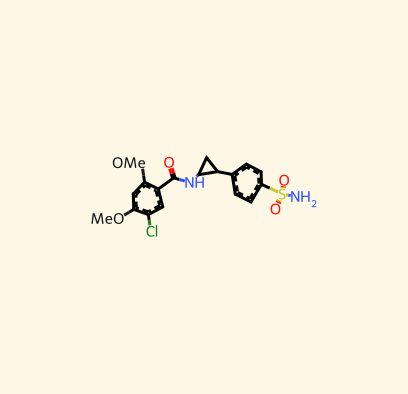 COc1cc(OC)c(C(=O)NC2CC2c2ccc(S(N)(=O)=O)cc2)cc1Cl